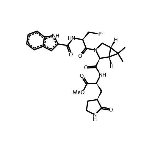 COC(=O)[C@H](C[C@@H]1CCNC1=O)NC(=O)[C@@H]1[C@@H]2[C@H](CN1C(=O)[C@H](CC(C)C)NC(=O)c1cc3ccccc3[nH]1)C2(C)C